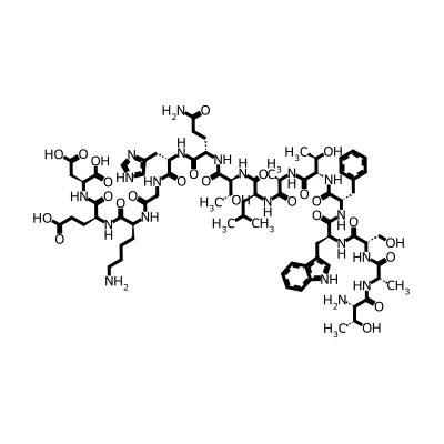 CC(C)C[C@H](NC(=O)[C@H](C)NC(=O)[C@@H](NC(=O)[C@H](Cc1ccccc1)NC(=O)[C@H](Cc1c[nH]c2ccccc12)NC(=O)[C@H](CO)NC(=O)[C@H](C)NC(=O)[C@@H](N)[C@@H](C)O)[C@@H](C)O)C(=O)N[C@H](C(=O)N[C@@H](CCC(N)=O)C(=O)N[C@@H](Cc1c[nH]cn1)C(=O)NCC(=O)N[C@@H](CCCCN)C(=O)N[C@@H](CCC(=O)O)C(=O)N[C@@H](CC(=O)O)C(=O)O)[C@@H](C)O